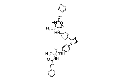 C[C@H](NC(=O)OCc1ccccc1)C(=O)Nc1ccc(-c2nncn2-c2ccc(NC(=O)[C@H](C)NC(=O)OCc3ccccc3)cc2)cc1